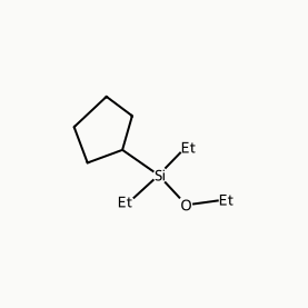 CCO[Si](CC)(CC)C1CCCC1